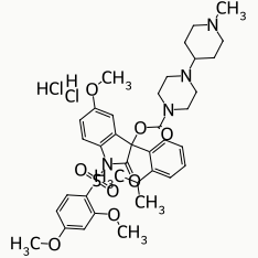 COc1ccc(S(=O)(=O)N2C(=O)C(OC(=O)N3CCN(C4CCN(C)CC4)CC3)(c3ccccc3C(C)C)c3cc(OC)ccc32)c(OC)c1.Cl.Cl